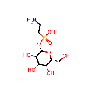 NCCP(=O)(O)O[C@@H]1O[C@H](CO)[C@H](O)[C@H](O)[C@H]1O